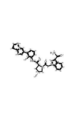 NC(=O)c1nn(CC(=O)N2C[C@H](F)CC2C(=O)Nc2cccc(-c3cnc4ccnn4c3)c2F)c2ccccc12